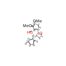 COc1ccc(C2OC[C@H](Cc3ccc(C)cc3)[C@@H]2CO)cc1OC